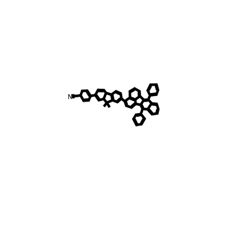 CC1(C)c2cc(-c3ccc4c5c(cccc35)-c3c-4c(-c4ccccc4)c4ccccc4c3-c3ccccc3)ccc2C2C=CC(C3=CCC(C#N)C=C3)=CC21